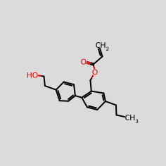 C=CC(=O)OCc1cc(CCC)ccc1-c1ccc(CCO)cc1